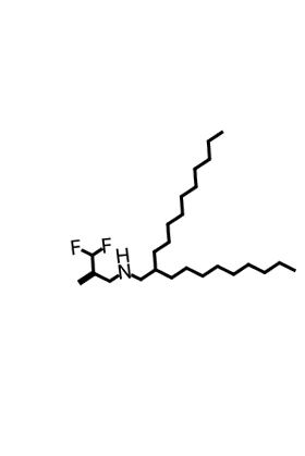 C=C(CNCC(CCCCCCCCC)CCCCCCCCCC)C(F)F